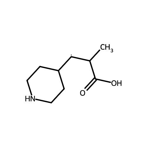 CC([CH]C1CCNCC1)C(=O)O